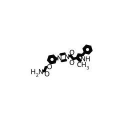 Cc1[nH]c(-c2ccccc2)cc1C(=O)C(=O)N1CCN(c2cccc(OCC(N)=O)c2)CC1